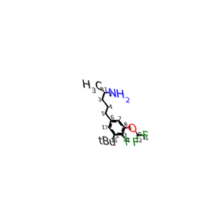 C[C@H](N)CCCc1cc(OC(F)F)c(F)c(C(C)(C)C)c1